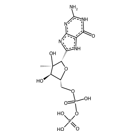 C[C@@]1(O)[C@H](O)[C@@H](COP(=O)(O)OP(=O)(O)O)O[C@H]1c1nc2nc(N)[nH]c(=O)c2[nH]1